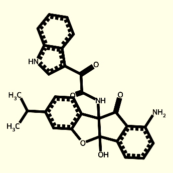 CC(C)c1ccc2c(c1)OC1(O)c3cccc(N)c3C(=O)C21NC(=O)C(=O)c1c[nH]c2ccccc12